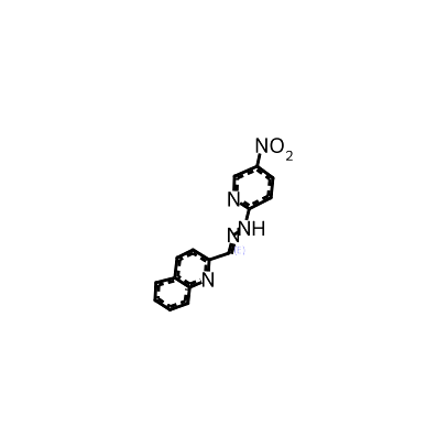 O=[N+]([O-])c1ccc(N/N=C/c2ccc3ccccc3n2)nc1